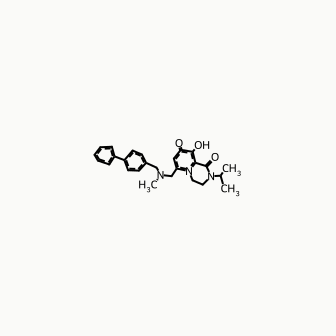 CC(C)N1CCn2c(CN(C)Cc3ccc(-c4ccccc4)cc3)cc(=O)c(O)c2C1=O